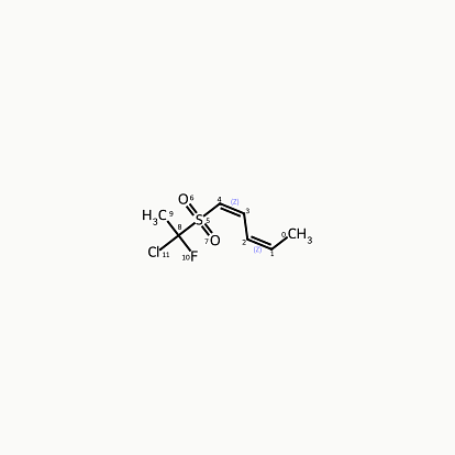 C/C=C\C=C/S(=O)(=O)C(C)(F)Cl